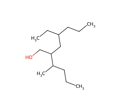 CCCC(CC)CC(CO)C(C)CCC